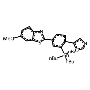 CCC[CH2][Sn]([CH2]CCC)([CH2]CCC)[c]1cc(-c2nc3ccc(OC)cc3s2)ccc1-c1cnco1